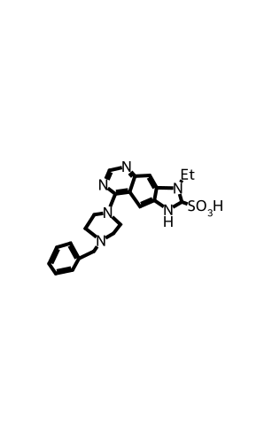 CCN1c2cc3ncnc(N4CCN(Cc5ccccc5)CC4)c3cc2NC1S(=O)(=O)O